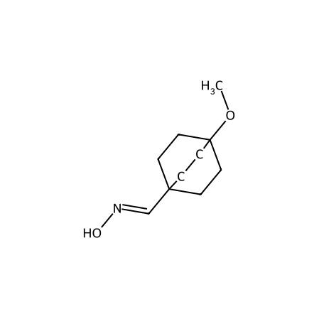 COC12CCC(C=NO)(CC1)CC2